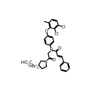 Cc1ccc(Cl)c(Cl)c1Oc1ccc(N(CC(=O)N2CC[C@H](NC(=O)O)C2)C(=O)/C=C/c2ccccc2)cc1